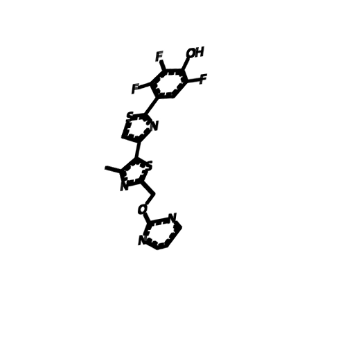 Cc1nc(COc2ncccn2)sc1-c1csc(-c2cc(F)c(O)c(F)c2F)n1